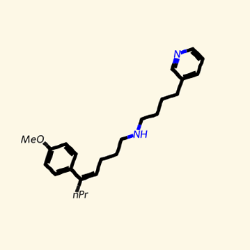 CCCC(=CCCCNCCCCc1cccnc1)c1ccc(OC)cc1